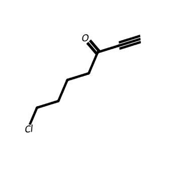 C#CC(=O)CCCCCl